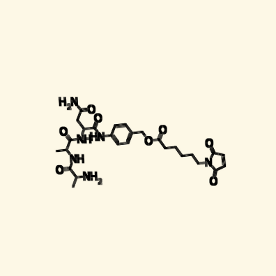 CC(N)C(=O)NC(C)C(=O)NC(CC(N)=O)C(=O)Nc1ccc(COC(=O)CCCCCN2C(=O)C=CC2=O)cc1